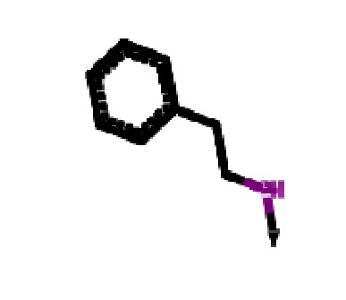 [Y][PH]CCc1ccccc1